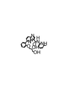 CC1C=CC=C(NC(=O)c2cnc3ccc(-c4ccccc4OCC(O)CO)nn23)N1